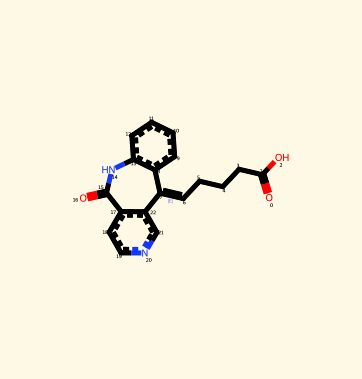 O=C(O)CCC/C=C1\c2ccccc2NC(=O)c2ccncc21